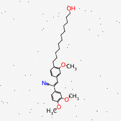 COc1cc(/C=C(\C#N)c2ccc(OC)c(OC)c2)ccc1CCCCCCCCCCCCO